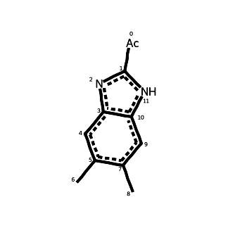 CC(=O)c1nc2cc(C)c(C)cc2[nH]1